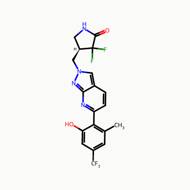 Cc1cc(C(F)(F)F)cc(O)c1-c1ccc2cn(C[C@H]3CNC(=O)C3(F)F)nc2n1